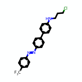 FC(F)(F)c1ccc(N=Nc2ccc(-c3ccc(NCCCCl)cc3)cc2)cc1